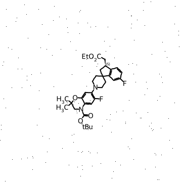 CCOC(=O)C[C@@H]1CC2(CCN(c3cc4c(cc3F)N(C(=O)OC(C)(C)C)CC(C)(C)O4)CC2)c2cc(F)ccc21